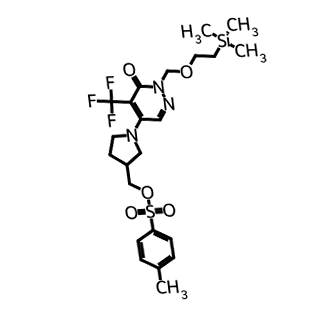 Cc1ccc(S(=O)(=O)OCC2CCN(c3cnn(COCC[Si](C)(C)C)c(=O)c3C(F)(F)F)C2)cc1